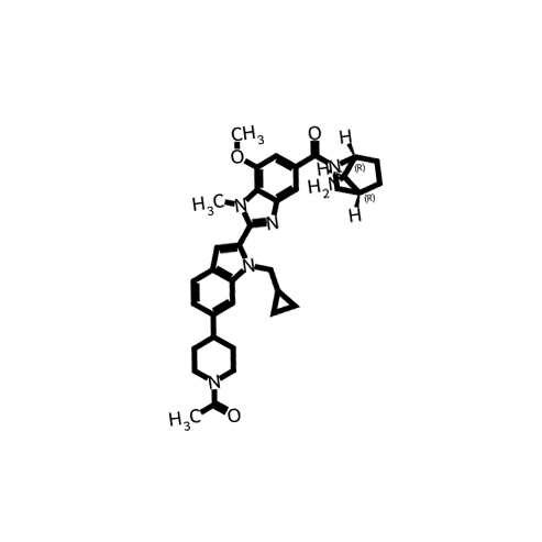 COc1cc(C(=O)N2C[C@H]3CC[C@@H]2[C@@H]3N)cc2nc(-c3cc4ccc(C5CCN(C(C)=O)CC5)cc4n3CC3CC3)n(C)c12